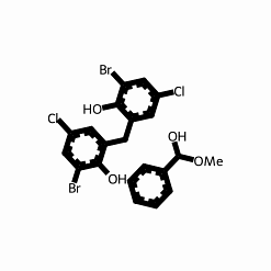 COC(O)c1ccccc1.Oc1c(Br)cc(Cl)cc1Cc1cc(Cl)cc(Br)c1O